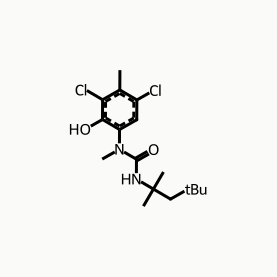 Cc1c(Cl)cc(N(C)C(=O)NC(C)(C)CC(C)(C)C)c(O)c1Cl